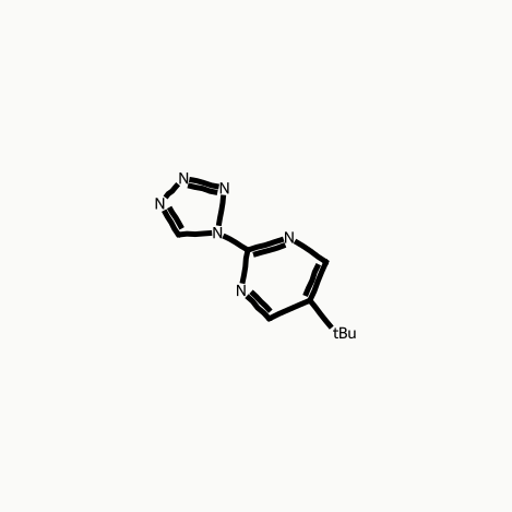 CC(C)(C)c1cnc(-n2cnnn2)nc1